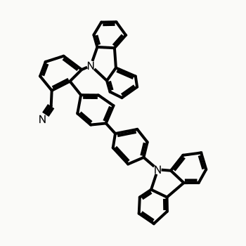 N#Cc1cccc(-n2c3ccccc3c3ccccc32)c1-c1ccc(-c2ccc(-n3c4ccccc4c4ccccc43)cc2)cc1